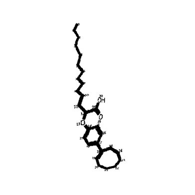 CCCCCCCCCCCCC(Oc1ccc(C2=CCCCCCC2)cc1)C(=O)O